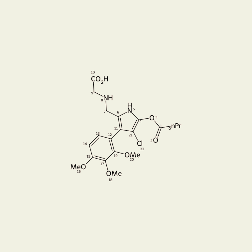 CCCC(=O)Oc1[nH]c(CNCC(=O)O)c(-c2ccc(OC)c(OC)c2OC)c1Cl